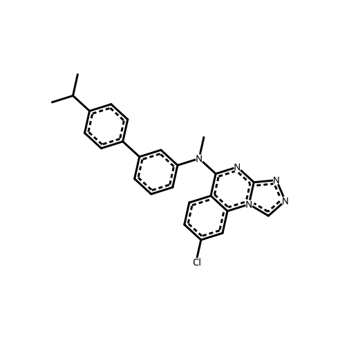 CC(C)c1ccc(-c2cccc(N(C)c3nc4nncn4c4cc(Cl)ccc34)c2)cc1